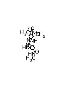 CCNC(=O)c1ccc2c(-c3nc4cc5c(cc4[nH]3)N(CC)C(=O)C5(C)C)n[nH]c2c1